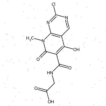 Cn1c(=O)c(C(=O)NCC(=O)O)c(O)c2cnc(Cl)nc21